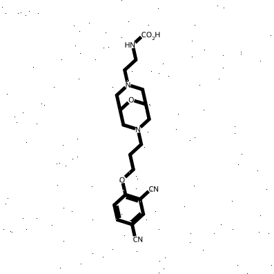 N#Cc1ccc(OCCCN2CC3CN(CCNC(=O)O)CC(C2)O3)c(C#N)c1